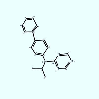 CC(C)N(c1ccc(-c2ccccc2)cc1)c1ncncn1